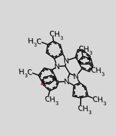 Cc1cccc(N2c3cc(C)c(C)cc3N(c3cccc(C)c3)C2C2N(c3cccc(C)c3)c3cc(C)c(C)cc3N2c2cccc(C)c2)c1